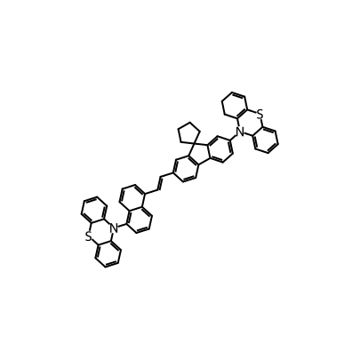 C1=CC2=C(CC1)N(c1ccc3c(c1)C1(CCCC1)c1cc(/C=C/c4cccc5c(N6c7ccccc7Sc7ccccc76)cccc45)ccc1-3)c1ccccc1S2